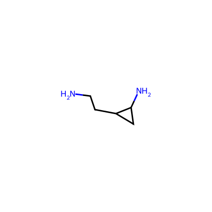 NCCC1CC1N